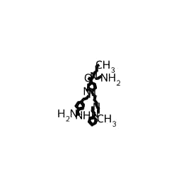 CCCCN(CCN)C(=O)c1ccc2c(c1)nc(CCc1ccc(C(=N)N)cc1)n2CCCN1CCN(c2ccccc2C)CC1